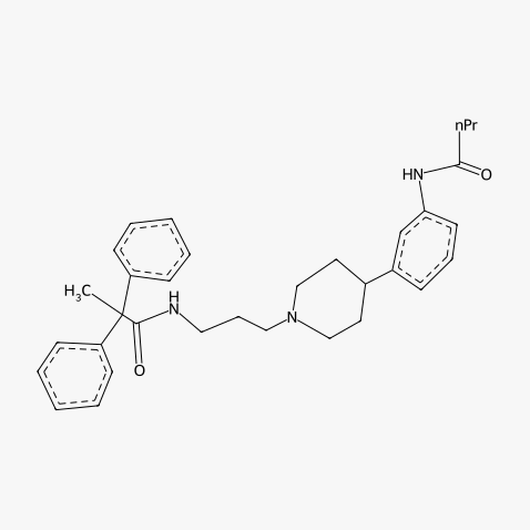 CCCC(=O)Nc1cccc(C2CCN(CCCNC(=O)C(C)(c3ccccc3)c3ccccc3)CC2)c1